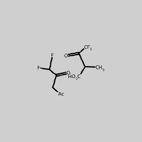 CC(=O)CC(=O)C(F)F.CC(C(=O)O)C(=O)C(F)(F)F